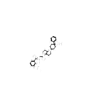 O=C(NCC(=O)N1CCC2C1CCN2[C@H]1CC[C@@](O)(c2ccccc2)CC1)c1cccc(C(F)(F)F)c1